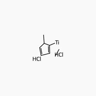 CC.CC1C=CC=[C]1[Ti].Cl.Cl